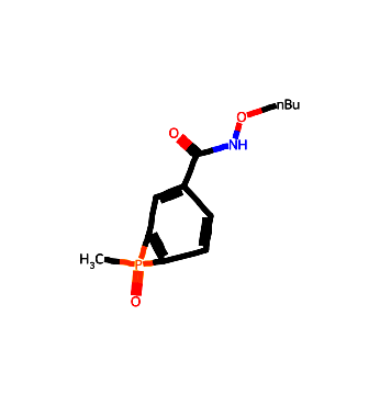 CCCCONC(=O)c1ccc2c(c1)P2(C)=O